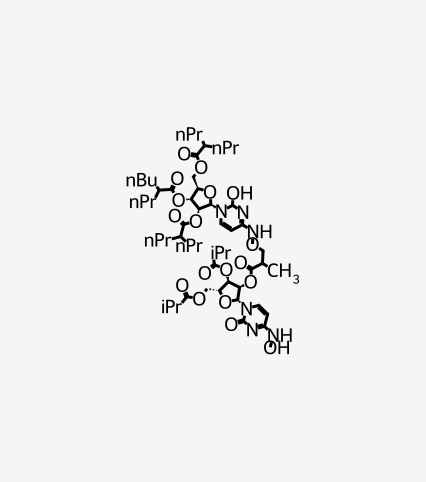 CCCCC(CCC)C(=O)O[C@H]1[C@@H](OC(=O)C(CCC)CCC)[C@H](N2C=CC(NOCC(C)C(=O)O[C@@H]3[C@H](OC(=O)C(C)C)[C@@H](COC(=O)C(C)C)O[C@H]3n3ccc(NO)nc3=O)=NC2O)O[C@@H]1COC(=O)C(CCC)CCC